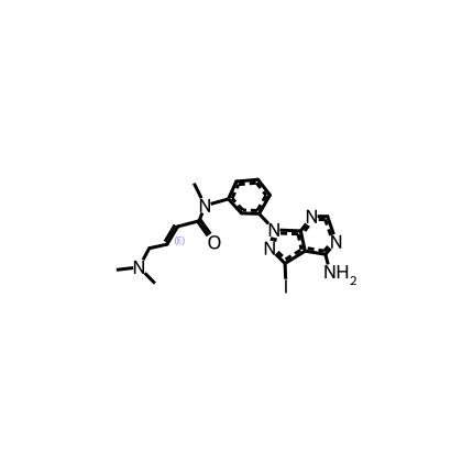 CN(C)C/C=C/C(=O)N(C)c1cccc(-n2nc(I)c3c(N)ncnc32)c1